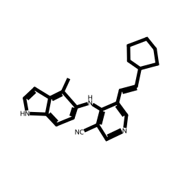 Cc1c(Nc2c(C#N)cncc2/C=C/C2CCCCC2)ccc2[nH]ccc12